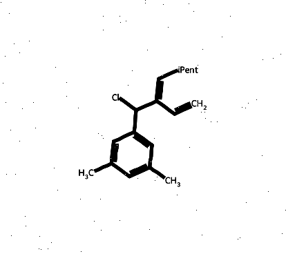 C=C/C(=C\C(C)CCC)C(Cl)c1cc(C)cc(C)c1